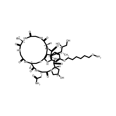 CC[C@H](C)[C@@H]1NC(=O)CNC(=O)[C@H]2Cc3c([nH]c4cc(OCCCCCCON)ccc34)SC[C@H](NC(=O)CNC1=O)C(=O)N[C@@H](CC(N)=O)C(=O)N1C[C@H](O)C[C@H]1C(=O)N[C@@H]([C@@H](C)[C@@H](O)CO)C(=O)N2